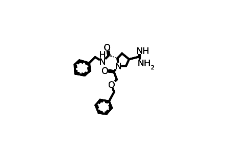 N=C(N)C1C[C@@H](C(=O)NCc2ccccc2)N(C(=O)COCc2ccccc2)C1